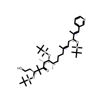 C/C(=C\C[C@H](O[Si](C)(C)C(C)(C)C)/C(C)=C/c1cccnc1)CCC[C@H](C)[C@H](O[Si](C)(C)C(C)(C)C)[C@@H](C)C(=O)C(C)(C)[C@H](CCO)O[Si](C)(C)C(C)(C)C